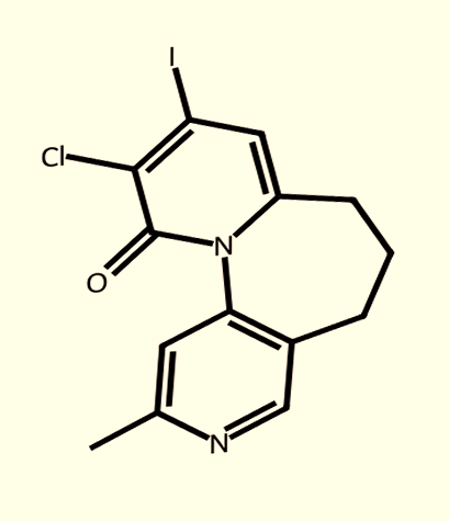 Cc1cc2c(cn1)CCCc1cc(I)c(Cl)c(=O)n1-2